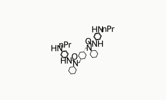 CCCNc1ccc(NC(=O)N(C[C@H]2CC[C@H](CN(C(=O)Nc3ccc(NCCC)cc3)C3CCCCC3)CC2)C2CCCCC2)cc1